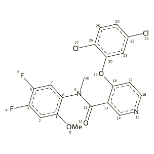 COc1cc(F)c(F)cc1N(C)C(=O)c1cnccc1Oc1cc(Cl)ccc1Cl